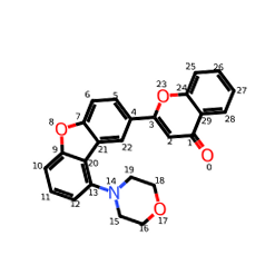 O=c1cc(-c2ccc3oc4cccc(N5CCOCC5)c4c3c2)oc2ccccc12